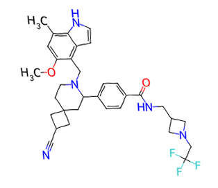 COc1cc(C)c2[nH]ccc2c1CN1CCC2(CC(C#N)C2)CC1c1ccc(C(=O)NCC2CN(CC(F)(F)F)C2)cc1